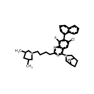 CC1CC(C)CN(CCCCc2nc(N3CC4CCC(C3)N4)c3cc(Cl)c(-c4cccc5ccccc45)c(F)c3n2)C1